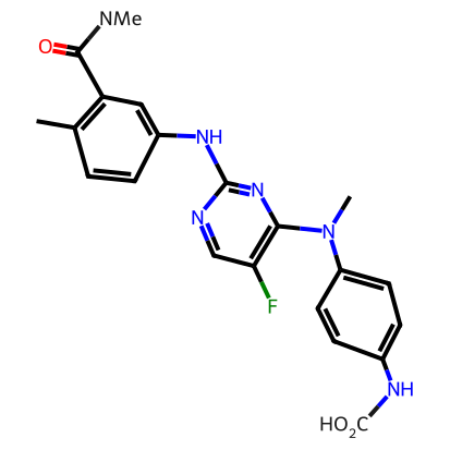 CNC(=O)c1cc(Nc2ncc(F)c(N(C)c3ccc(NC(=O)O)cc3)n2)ccc1C